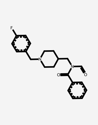 O=CN(CC1CCN(Cc2ccc(F)cc2)CC1)C(=O)c1ccccc1